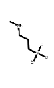 CNCCC[Si](Cl)(Cl)Cl